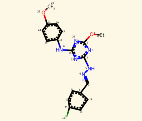 CCOc1nc(N/N=C/c2ccc(F)cc2)nc(Nc2ccc(OC(F)(F)F)cc2)n1